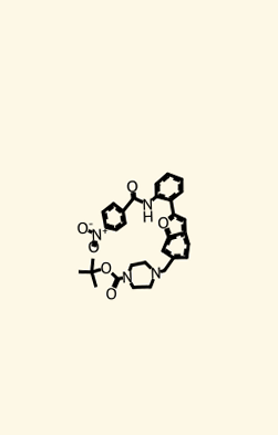 CC(C)(C)OC(=O)N1CCN(Cc2ccc3cc(-c4ccccc4NC(=O)c4ccc([N+](=O)[O-])cc4)oc3c2)CC1